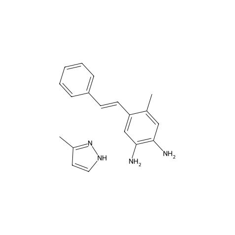 Cc1cc(N)c(N)cc1C=Cc1ccccc1.Cc1cc[nH]n1